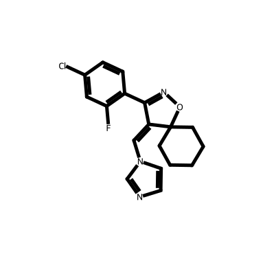 Fc1cc(Cl)ccc1C1=NOC2(CCCCC2)/C1=C\n1ccnc1